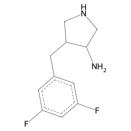 NC1CNCC1Cc1cc(F)cc(F)c1